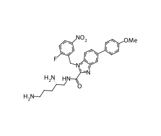 COc1ccc(-c2ccc3c(c2)nc(C(=O)NC[C@@H](N)CCCN)n3Cc2cc([N+](=O)[O-])ccc2F)cc1